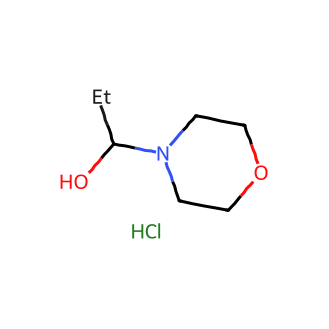 CCC(O)N1CCOCC1.Cl